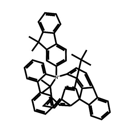 CC(C)(C)c1ccc2c(c1)C13c4ccccc4-c4ccc(cc41)[N+](c1ccc4c(c1)C(C)(C)c1ccccc1-4)(c1ccccc1-c1ccccc1)C(C)(C)c1ccc-2c3c1